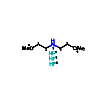 COCCNCCOC.F.F.F